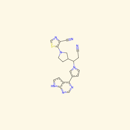 N#CCC(C1CCN(c2scnc2C#N)C1)n1ccc(-c2ncnc3[nH]ccc23)c1